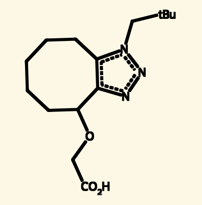 CC(C)(C)Cn1nnc2c1CCCCCC2OCC(=O)O